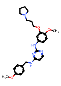 COc1ccc(CNc2ccnc(Nc3ccc(OC)c(OCCCN4CCCC4)c3)n2)cc1